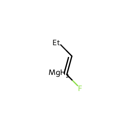 [CH2]CC=CF.[MgH2]